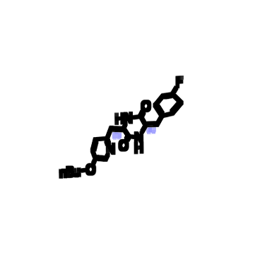 CCCCOc1ccc(/C=c2/[nH]c(=O)/c(=C\c3ccc(F)cc3)[nH]c2=O)nc1